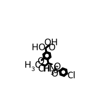 CC1(C)CC(CNS(=O)(=O)c2ccc(Cl)cc2)c2ccc(C(O)C(=O)O)cc2O1